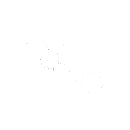 O=c1c2ccccc2cnn1CCc1ccccc1